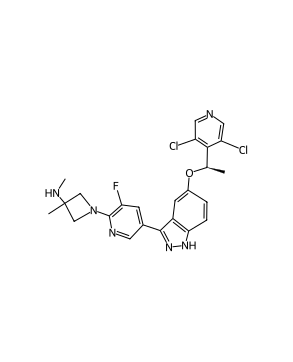 CNC1(C)CN(c2ncc(-c3n[nH]c4ccc(O[C@H](C)c5c(Cl)cncc5Cl)cc34)cc2F)C1